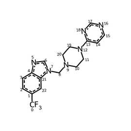 FC(F)(F)c1ccc2ncn(CN3CCN(c4ccncn4)CC3)c2c1